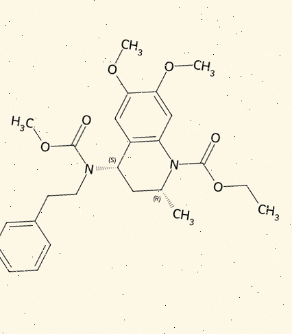 CCOC(=O)N1c2cc(OC)c(OC)cc2[C@@H](N(CCc2ccccc2)C(=O)OC)C[C@H]1C